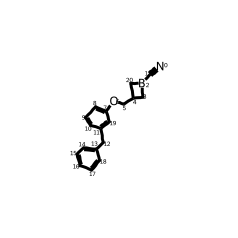 N#CB1CC(COc2cccc(Cc3ccccc3)c2)C1